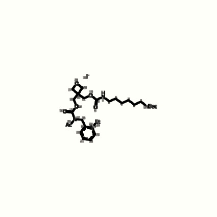 CCCCCCCCCCCCCCCCNC(=O)OCC1(COC(=O)N(Cc2cccc[n+]2CC)C(C)=O)COC1.[I-]